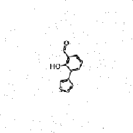 O=Cc1cccc(-c2ccsc2)c1O